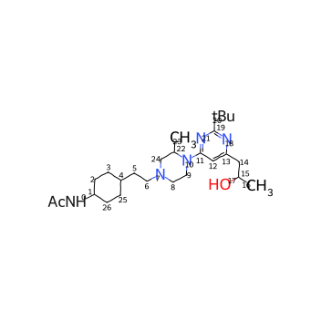 CC(=O)NC1CCC(CCN2CCN(c3cc(CC(C)O)nc(C(C)(C)C)n3)C(C)C2)CC1